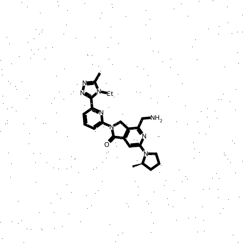 CCn1c(C)nnc1-c1cccc(N2Cc3c(cc(N4CCC[C@H]4C)nc3CN)C2=O)n1